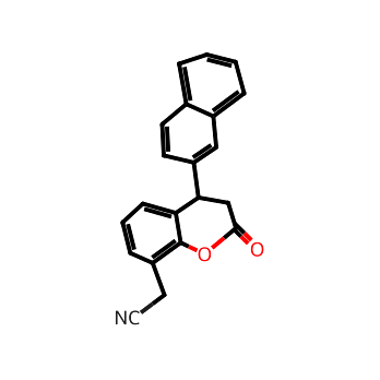 N#CCc1cccc2c1OC(=O)CC2c1ccc2ccccc2c1